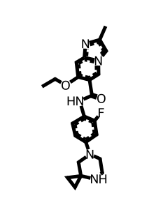 CCOc1cc2nc(C)cn2cc1C(=O)Nc1ccc(N2CCNC3(CC3)C2)cc1F